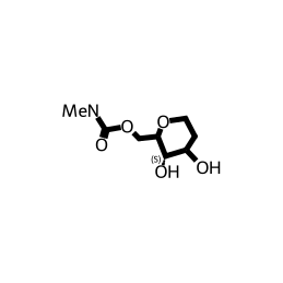 CNC(=O)OCC1OCCC(O)[C@@H]1O